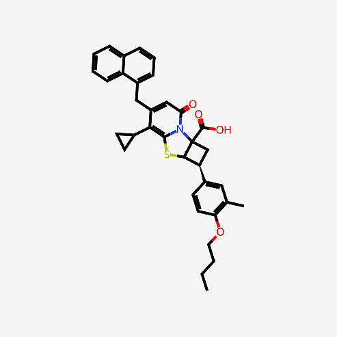 CCCCOc1ccc([C@@H]2CC3(C(=O)O)C2Sc2c(C4CC4)c(Cc4cccc5ccccc45)cc(=O)n23)cc1C